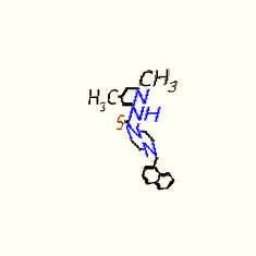 Cc1cc(C)nc(NC(=S)N2CCN(Cc3cccc4ccccc34)CC2)c1